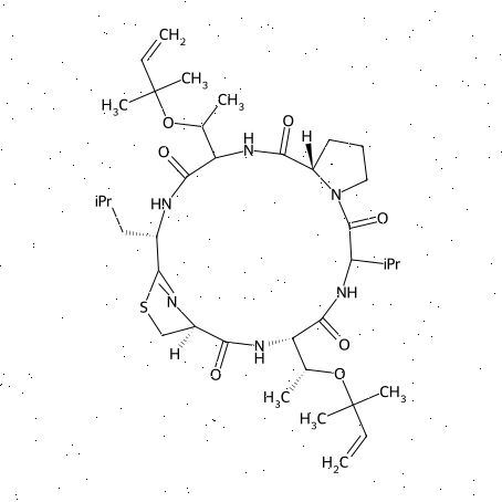 C=CC(C)(C)OC(C)C1NC(=O)[C@@H]2CCCN2C(=O)C(C(C)C)NC(=O)[C@H]([C@@H](C)OC(C)(C)C=C)NC(=O)[C@H]2CSC(=N2)[C@H](CC(C)C)NC1=O